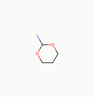 IB1OCCCO1